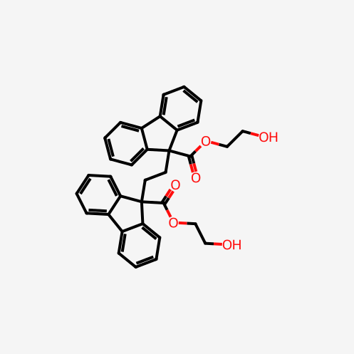 O=C(OCCO)C1(CCC2(C(=O)OCCO)c3ccccc3-c3ccccc32)c2ccccc2-c2ccccc21